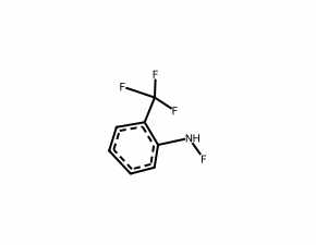 FNc1ccccc1C(F)(F)F